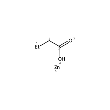 CCCC(=O)O.[Zn]